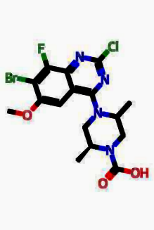 COc1cc2c(N3C[C@H](C)N(C(=O)O)CC3C)nc(Cl)nc2c(F)c1Br